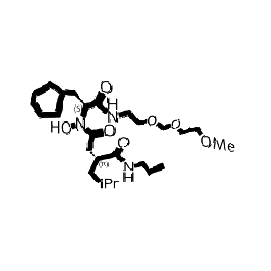 C=CCNC(=O)[C@@H](CC(=O)N(O)[C@@H](Cc1ccccc1)C(=O)NCCOCOCCOC)CC(C)C